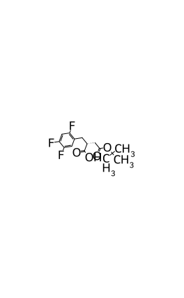 CC(C)(C)OC(=O)C[C@@H](Cc1cc(F)c(F)cc1F)C(=O)O